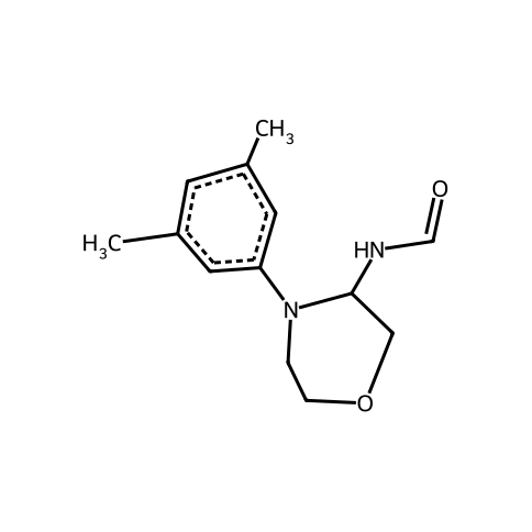 Cc1cc(C)cc(N2CCOCC2NC=O)c1